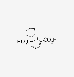 CC1C(C(=O)O)=CC=CC1(C(=O)O)C1CCCCC1